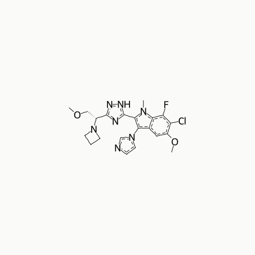 COC[C@H](c1n[nH]c(-c2c(-n3ccnc3)c3cc(OC)c(Cl)c(F)c3n2C)n1)N1CCC1